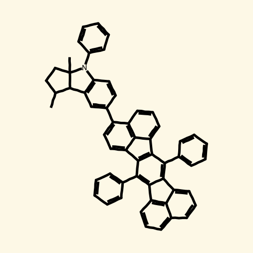 CC1CCC2(C)C1c1cc(-c3ccc4c5c(-c6ccccc6)c6c7cccc8cccc(c6c(-c6ccccc6)c5c5cccc3c54)c87)ccc1N2c1ccccc1